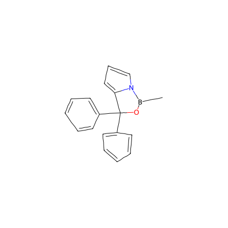 CB1OC(c2ccccc2)(c2ccccc2)c2cccn21